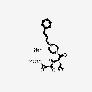 CC(C)C[C@H](NC(=O)[C@H]1O[C@@H]1C(=O)[O-])C(=O)N1CCN(CC=Cc2ccccc2)CC1.[Na+]